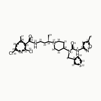 Cc1cc(NC(=O)N(Cc2ccsc2)C2CCN([C@H](C)CCNC(=O)c3c(C)cc(Cl)nc3Cl)CC2)no1